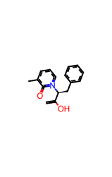 C=C(O)[C@H](Cc1ccccc1)n1cccc(C)c1=O